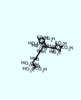 O=C(O)CC[C@H](NC(=O)N[C@@H](CCCCNC(=O)CCCCCCC(=O)NCCCCC(NC(=O)C(CCCCNC(=O)CN1CCN(CC(=O)O)CCN(CC(=O)O)CCN(CC(=O)O)CC1)NC(=O)CN1CCN(CC(=O)O)CCN(CC(=O)O)CCN(CC(=O)O)CC1)C(=O)O)C(=O)O)C(=O)O